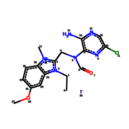 CCn1c(CN(C=O)c2nc(Cl)cnc2N)[n+](C)c2ccc(OC)cc21.[I-]